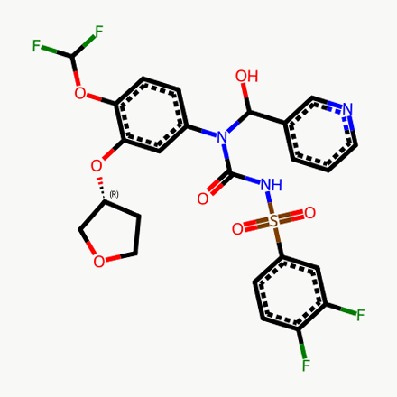 O=C(NS(=O)(=O)c1ccc(F)c(F)c1)N(c1ccc(OC(F)F)c(O[C@@H]2CCOC2)c1)C(O)c1cccnc1